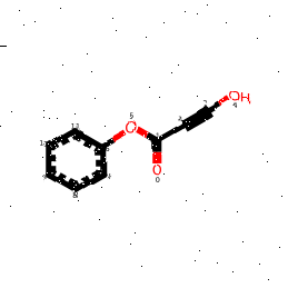 O=C(C#CO)Oc1ccccc1